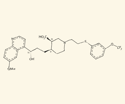 COc1ccc2nccc([C@@H](O)CC[C@@H]3CCN(CCSc4cccc(OC(F)(F)F)c4)C[C@@H]3C(=O)O)c2c1